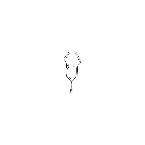 Fc1cc2ccccn2c1